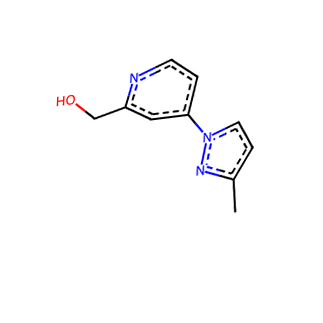 Cc1ccn(-c2ccnc(CO)c2)n1